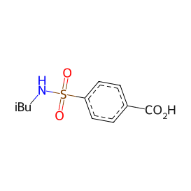 CCC(C)NS(=O)(=O)c1ccc(C(=O)O)cc1